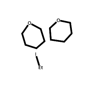 C1CCOCC1.C1CCOCC1.CCI